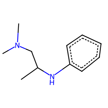 CC(CN(C)C)Nc1ccccc1